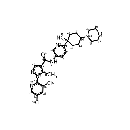 Cc1c(C(=O)Nc2ccc(C3(C#N)CCC(N4CCOCC4)CC3)nc2)cnn1-c1ncc(Cl)cc1Cl